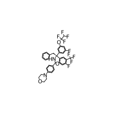 O=C(N[C@](Cc1ccccc1)(c1cc(F)cc(OC(F)(F)C(F)F)c1)c1ccc(F)c(C(F)(F)F)c1)c1ccc(N2CCOCC2)cc1